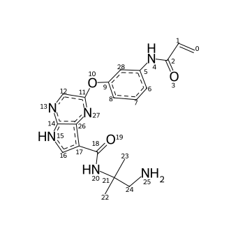 C=CC(=O)Nc1cccc(Oc2cnc3[nH]cc(C(=O)NC(C)(C)CN)c3n2)c1